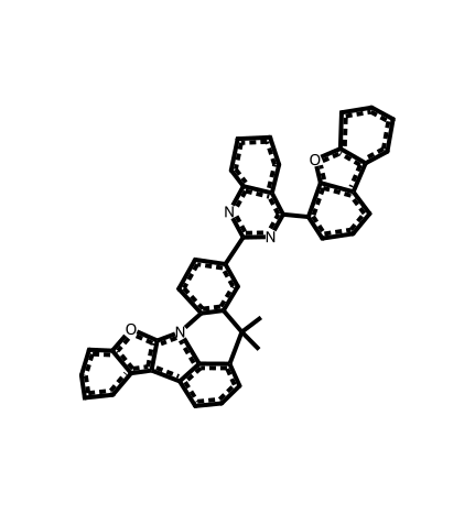 CC1(C)c2cc(-c3nc(-c4cccc5c4oc4ccccc45)c4ccccc4n3)ccc2-n2c3oc4ccccc4c3c3cccc1c32